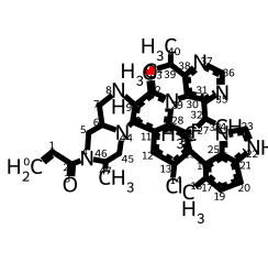 C=CC(=O)N1CC2CNc3c(c4cc(Cl)c(-c5c(C)ccc6[nH]cnc56)c(F)c4n(-c4c(C(C)C)ncnc4C(C)C)c3=O)N2CC1C